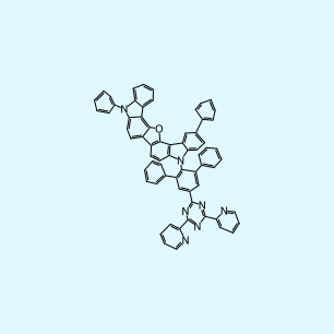 c1ccc(-c2ccc3c(c2)c2c4oc5c(ccc6c5c5ccccc5n6-c5ccccc5)c4ccc2n3-c2c(-c3ccccc3)cc(-c3nc(-c4ccccn4)nc(-c4ccccn4)n3)cc2-c2ccccc2)cc1